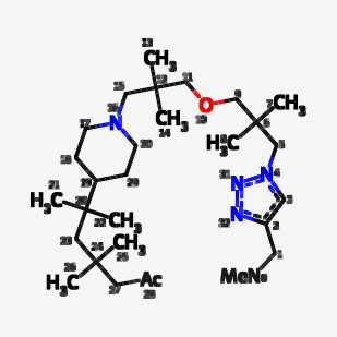 CNCc1cn(CC(C)(C)COCC(C)(C)CN2CCC(C(C)(C)CC(C)(C)CC(C)=O)CC2)nn1